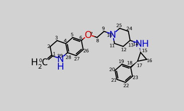 C=C1CCc2cc(OCCN3CCC(N[C@@H]4C[C@H]4c4ccccc4)CC3)ccc2N1